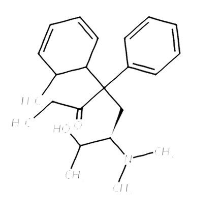 CCC(=O)C(C[C@H](C(C)O)N(C)C)(c1ccccc1)C1C=CC=CC1C